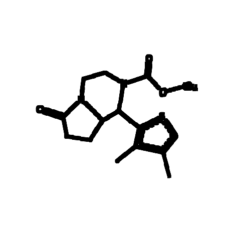 Cc1csc(C2C3CCC(=O)N3CCN2C(=O)OC(C)(C)C)c1C